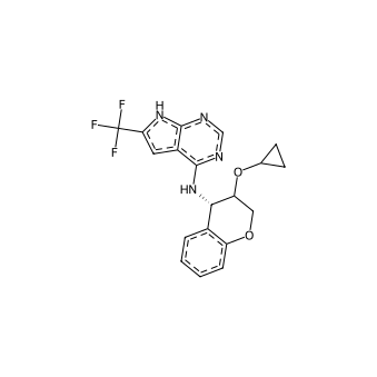 FC(F)(F)c1cc2c(N[C@H]3c4ccccc4OCC3OC3CC3)ncnc2[nH]1